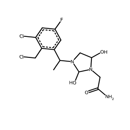 CC(c1cc(F)cc(Cl)c1CCl)N1CC(O)N(CC(N)=O)C1O